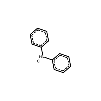 [C].c1ccc(Nc2ccccc2)cc1